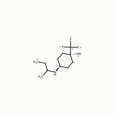 CCC(C)N[C@H]1CC[C@@](O)(C(F)(F)F)CC1